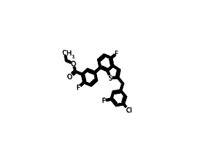 CCOC(=O)c1cc(-c2ccc(F)c3cc(Cc4cc(F)cc(Cl)c4)sc23)ccc1F